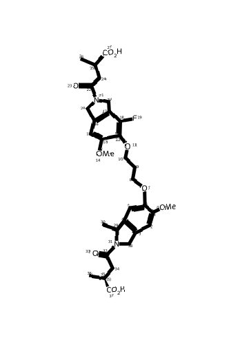 COc1cc2c(cc1OCCCOc1c(OC)cc3c(c1F)CN(C(=O)CC(C)C(=O)O)C3)C(C)N(C(=O)C[C@H](C)C(=O)O)C2